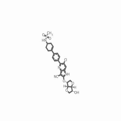 CS(=O)(=O)NC1CC=C(c2ccc(-c3nc4c(C#N)c(O[C@@H]5CO[C@H]6[C@@H]5OC[C@H]6O)[nH]c4cc3Cl)cc2)CC1